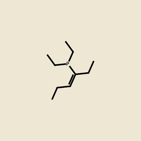 CCC=C(CC)P(CC)CC